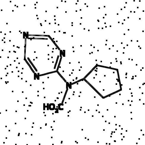 O=C(O)N(c1ncncn1)C1CCCC1